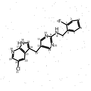 Fc1ccccc1CNc1ncc(Cc2c[nH]c3ncc(Cl)cc23)cn1